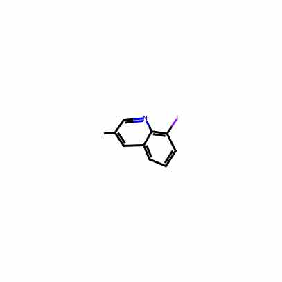 Cc1cnc2c(I)cccc2c1